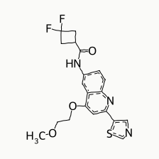 COCCOc1cc(-c2cncs2)nc2ccc(NC(=O)C3CC(F)(F)C3)cc12